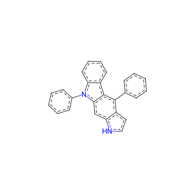 c1ccc(-c2c3cc[nH]c3cc3c2c2ccccc2n3-c2ccccc2)cc1